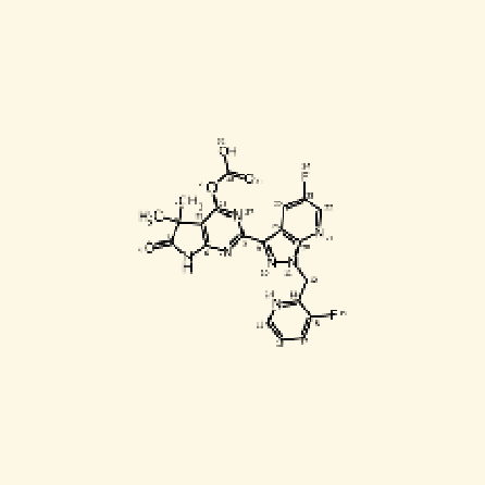 CC1(C)C(=O)Nc2nc(-c3nn(Cc4ncccc4F)c4ncc(F)cc34)nc(OC(=O)O)c21